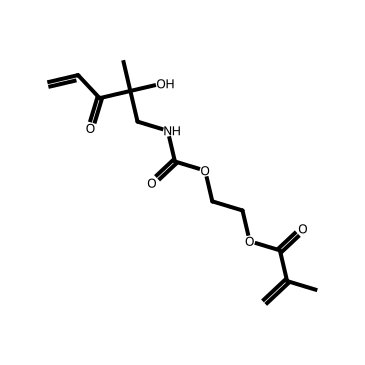 C=CC(=O)C(C)(O)CNC(=O)OCCOC(=O)C(=C)C